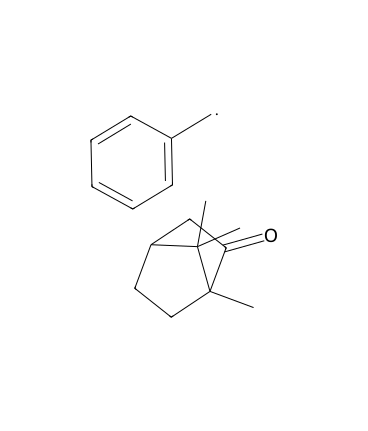 CC12CCC(CC1=O)C2(C)C.[CH2]c1ccccc1